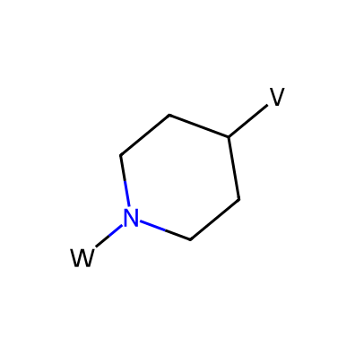 [V][CH]1CC[N]([W])CC1